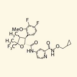 COc1c([C@H]2[C@H](C(=O)Nc3ccnc(C(=O)NOCC4CC4)c3)O[C@@](C)(C(F)(F)F)[C@H]2C)ccc(F)c1F